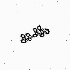 c1ccc(-n2c3ccccc3c3c(-n4c5ccccc5c5cc(-n6c7ccccc7c7c(-n8c9ccccc9c9ccccc98)cccc76)ccc54)cccc32)cc1